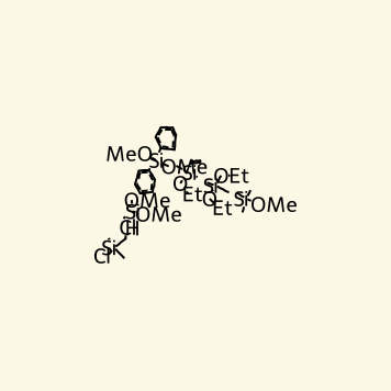 C=C[Si](C)(C)OCC.CCO[Si](C)(C)OCC.CO[SiH](C)OC.CO[Si](C)(C)C.CO[Si](OC)(c1ccccc1)c1ccccc1.C[Si](C)(Cl)CCl